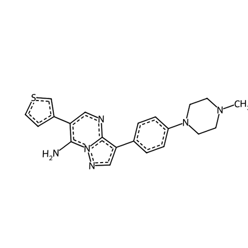 CN1CCN(c2ccc(-c3cnn4c(N)c(-c5ccsc5)cnc34)cc2)CC1